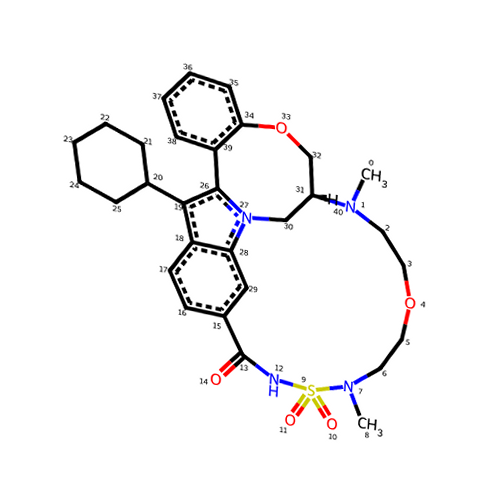 CN1CCOCCN(C)S(=O)(=O)NC(=O)c2ccc3c(C4CCCCC4)c4n(c3c2)C[C@@H]1COc1ccccc1-4